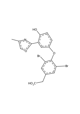 Cc1coc(-c2cc(Oc3c(Br)cc(CC(=O)O)cc3Br)ccc2O)n1